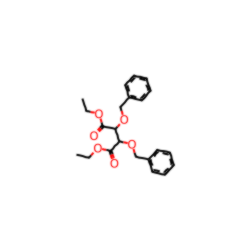 CCOC(=O)C(OCc1ccccc1)C(OCc1ccccc1)C(=O)OCC